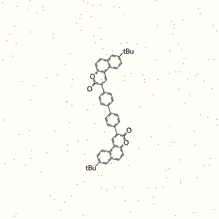 CC(C)(C)c1ccc2c(ccc3oc(=O)c(-c4ccc(-c5ccc(-c6cc7c(ccc8cc(C(C)(C)C)ccc87)oc6=O)cc5)cc4)cc32)c1